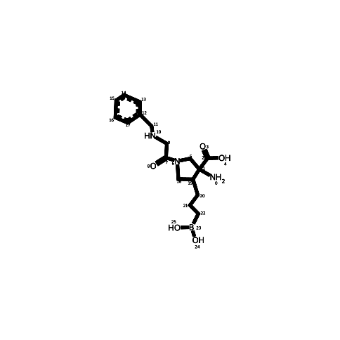 NC1(C(=O)O)CN(C(=O)CNCc2ccccc2)CC1CCCB(O)O